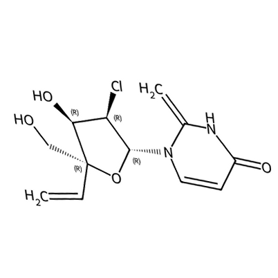 C=C[C@]1(CO)O[C@@H](N2C=CC(=O)NC2=C)[C@H](Cl)[C@@H]1O